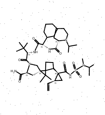 C=C[C@@H]1C[C@]1(C(=O)NS(=O)(=O)N(C)C(C)C)C1CCC12C(C)(C)[C@]21C[C@@H](C(N)=O)N(C(=O)[C@@H](NC(=O)[C@@H](NC(=O)[C@@H]2CCCCN2C(C)C)C2CCCCC2)C(C)(C)C)C1